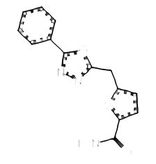 NC(=O)c1ccc(Cc2nnc(-c3ccccc3)o2)s1